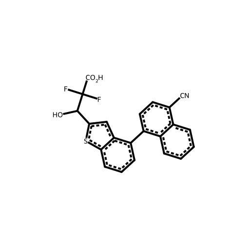 N#Cc1ccc(-c2cccc3sc(C(O)C(F)(F)C(=O)O)cc23)c2ccccc12